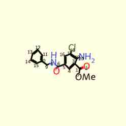 COC(=O)c1cc(C(=O)NCc2ccccc2)cc(Cl)c1N